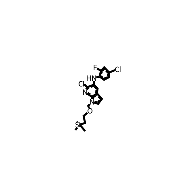 C[Si](C)(C)CCOCn1ccc2cc(Nc3ccc(Cl)cc3F)c(Cl)nc21